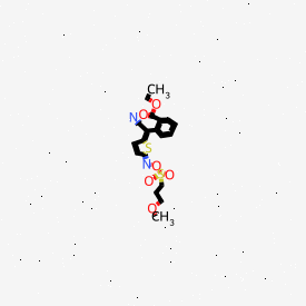 CCOC(=O)c1ccccc1/C(C#N)=C1C=C/C(=N/OS(=O)(=O)CCCOC)S/1